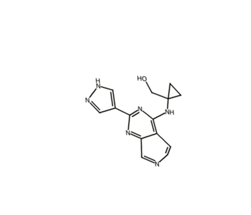 OCC1(Nc2nc(-c3cn[nH]c3)nc3cnccc23)CC1